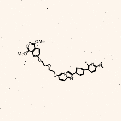 COC(=O)c1ccc(OCCOCCOc2ccc3nc(-c4ccc(-c5ccc(N(C)C)nc5F)cc4)cn3c2)cc1C(=O)OC